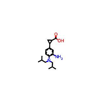 CC(C)CN(CC(C)C)c1ccc(C2CC2C(=O)O)cc1N